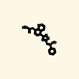 CCCCNCc1ccc(-c2nnc(/C=C(\CCC)c3ccccc3)o2)c2cccnc12